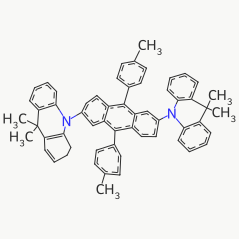 Cc1ccc(-c2c3ccc(N4c5ccccc5C(C)(C)c5ccccc54)cc3c(-c3ccc(C)cc3)c3ccc(N4C5=C(C=CCC5)C(C)(C)c5ccccc54)cc23)cc1